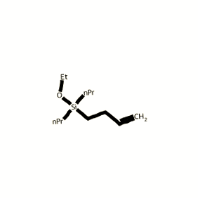 C=CCC[Si](CCC)(CCC)OCC